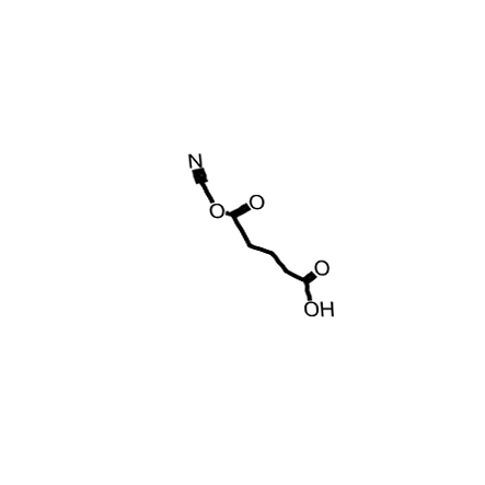 N#COC(=O)CCCC(=O)O